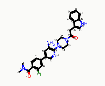 CN(C)C(=O)c1ccc(-c2cnc(N3CCN(C(=O)Cc4c[nH]c5ccccc45)CC3)c(N)c2)cc1Cl